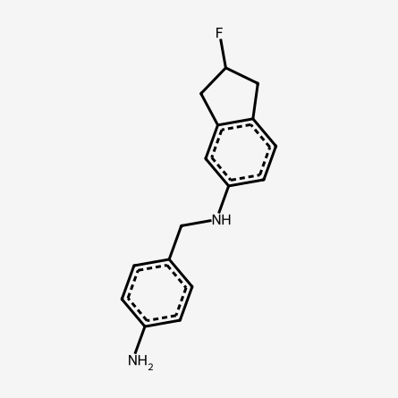 Nc1ccc(CNc2ccc3c(c2)CC(F)C3)cc1